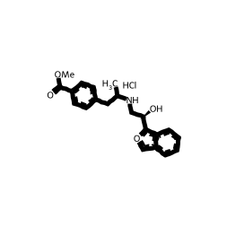 COC(=O)c1ccc(CC(C)NC[C@@H](O)c2occ3ccccc23)cc1.Cl